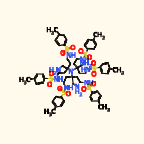 Cc1ccc(S(=O)(=O)NCCC(CN)(CCNS(=O)(=O)c2ccc(C)cc2)N(C(CN)(CCNS(=O)(=O)c2ccc(C)cc2)CCNS(=O)(=O)c2ccc(C)cc2)C(CN)(CCNS(=O)(=O)c2ccc(C)cc2)CCNS(=O)(=O)c2ccc(C)cc2)cc1